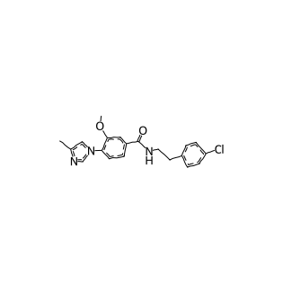 COc1cc(C(=O)NCCc2ccc(Cl)cc2)ccc1-n1cnc(C)c1